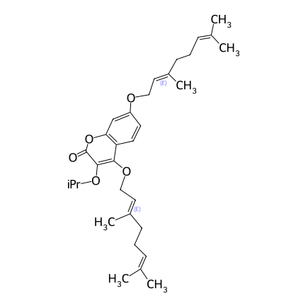 CC(C)=CCC/C(C)=C/COc1ccc2c(OC/C=C(\C)CCC=C(C)C)c(OC(C)C)c(=O)oc2c1